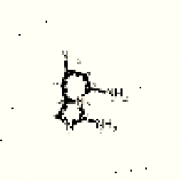 Nc1cc(N)n2c(N)ncc2c1